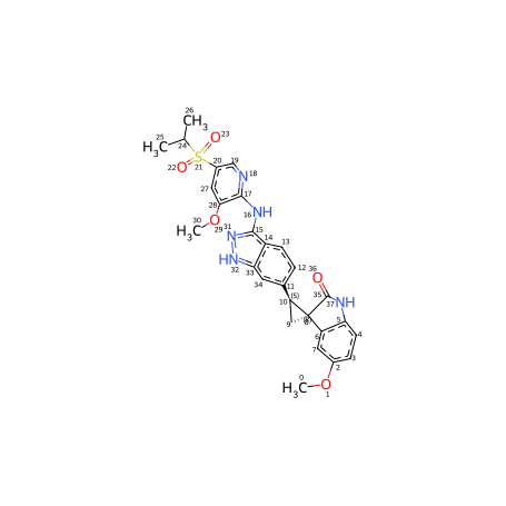 COc1ccc2c(c1)[C@]1(C[C@H]1c1ccc3c(Nc4ncc(S(=O)(=O)C(C)C)cc4OC)n[nH]c3c1)C(=O)N2